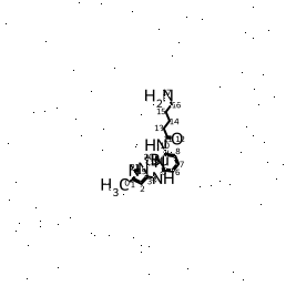 Cc1cc(Nc2cccc(NC(=O)CCCCN)n2)n(C(C)(C)C)n1